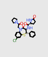 O=C1CC[C@@H](C(=O)N[C@@H]2C(=O)N(CC(=O)N3CCCC3)c3ccc(Cl)cc3S[C@H]2c2ccccc2)N1